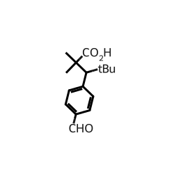 CC(C)(C)C(c1ccc(C=O)cc1)C(C)(C)C(=O)O